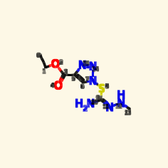 CCOC(=O)c1cn(S/C(N)=N\NC)nn1